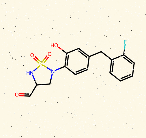 O=CC1CN(c2ccc(Cc3ccccc3F)cc2O)S(=O)(=O)N1